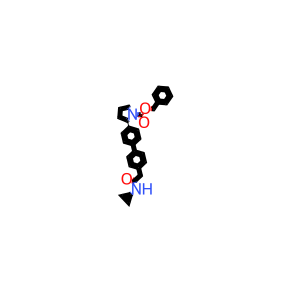 O=C(Cc1ccc(-c2ccc([C@@H]3CCCN3C(=O)OCc3ccccc3)cc2)cc1)NC1CC1